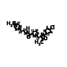 Cc1oc(-c2ccc(Cl)cc2)nc1CN1CCCC(C(=O)NCCCN2CCN(C)CC2)C1